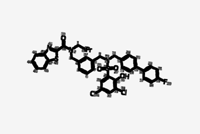 CC(C)CN(Cc1cccc(CN(Cc2ccc(-c3ccc(F)cc3)cc2)S(=O)(=O)c2cc(Cl)cc(Cl)c2O)c1)C(=O)c1nc2ccccc2s1